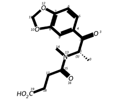 C[C@@H](C(=O)c1ccc2c(c1)OCO2)N(C)C(=O)CCC(=O)O